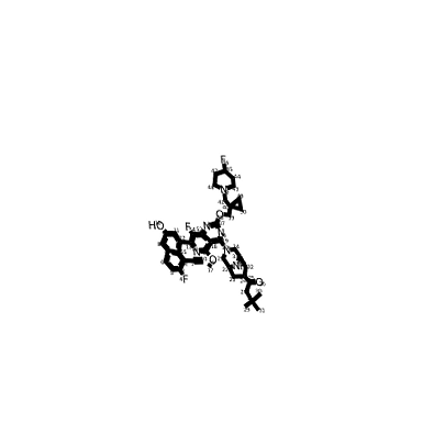 C#Cc1c(F)ccc2cc(O)cc(-c3nc(OC)c4c(N5CC6CC(C(=O)CC(C)(C)C)CC(C5)N6)nc(OCC5(CN6CCC(F)CC6)CC5)nc4c3F)c12